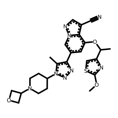 COc1nc(C(C)Oc2cc(-c3nnn(C4CCN(C5COC5)CC4)c3C)cn3ncc(C#N)c23)cs1